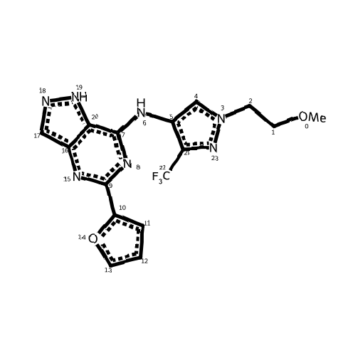 COCCn1cc(Nc2nc(-c3ccco3)nc3cn[nH]c23)c(C(F)(F)F)n1